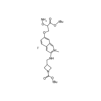 C[n+]1cc2cc(OCC(ON)C(=O)OC(C)(C)C)ccc2cc1NCC1CN(C(=O)OC(C)(C)C)C1.[I-]